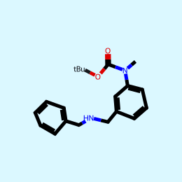 CN(C(=O)OC(C)(C)C)c1cccc(CNCc2ccccc2)c1